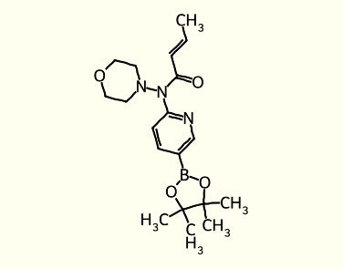 C/C=C/C(=O)N(c1ccc(B2OC(C)(C)C(C)(C)O2)cn1)N1CCOCC1